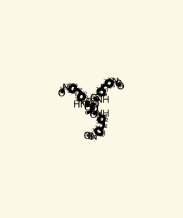 CCC(COC(=O)NC1CCC(CC2CCC(N=C=O)CC2)CC1)(OC(=O)NC1CCC(CC2CCC(N=C=O)CC2)CC1)OC(=O)NC1CCC(CC2CCC(N=C=O)CC2)CC1